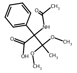 COC(C)(OC)C(NC(C)=O)(C(=O)O)c1ccccc1